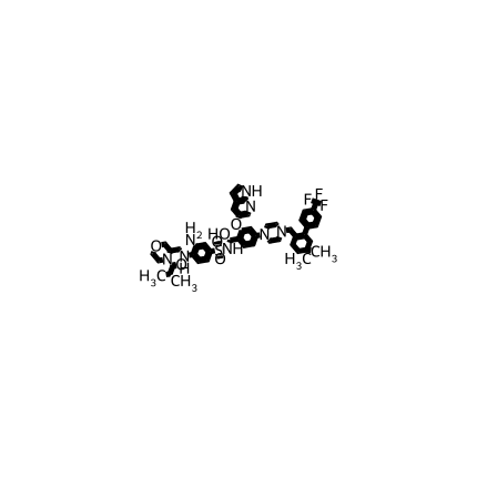 CC(C)C(=O)N1CCOCC1CNc1ccc(S(=O)(=O)NC(O)c2ccc(N3CCN(CC4=C(c5ccc(C(F)(F)F)cc5)CC(C)(C)CC4)CC3)cc2Oc2cnc3[nH]ccc3c2)cc1N